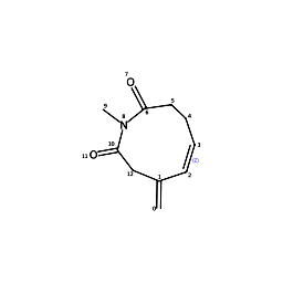 C=C1/C=C\CCC(=O)N(C)C(=O)C1